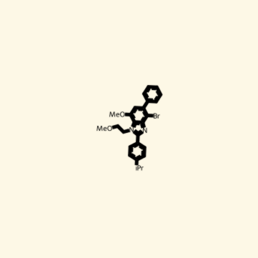 COCCn1c(-c2ccc(C(C)C)cc2)nc2c(Br)c(-c3ccccc3)cc(OC)c21